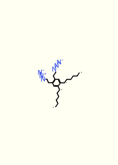 [CH2]CCCC[CH]c1cc(CCN=[N+]=[N-])c(CCN=[N+]=[N-])cc1[CH]CCCC[CH2]